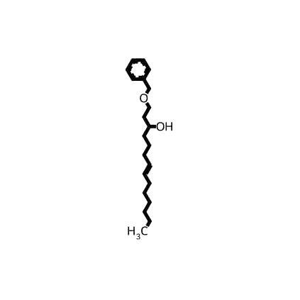 CCCCCCC=CCCCC(O)CCOCc1ccccc1